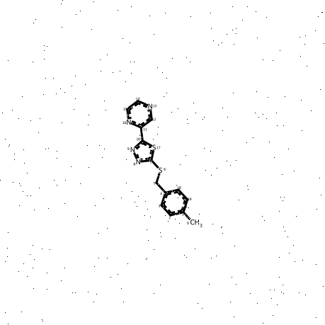 Cc1ccc(CSc2nnc(-c3cnccn3)s2)cc1